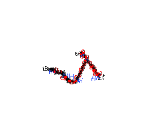 CCNC(=O)CCOCCOCCOCCOCCN(CCOCCOCCOCCOCCC(=O)NC(C)(C)CCOC(C)(C)CCC(=O)NCCC(C)(C)OCC(C)(C)NC(=O)C(C)(C)CCC(C)(C)C)C(=O)CCN1C(=O)CC(CC)C1=O